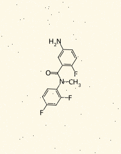 CN(C(=O)c1cc(N)ccc1F)c1ccc(F)cc1F